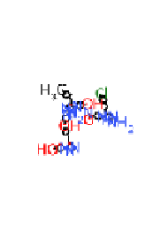 Cc1ccc(Cc2cnc(N3CCC(O)CC3)nc2N2CCC(O)CC2)cc1.NC(=O)C1CCN(c2nc(N)ncc2CCc2ccc(Cl)cc2)CC1.OC1CCN(c2ncncc2CCc2ccccc2)CC1